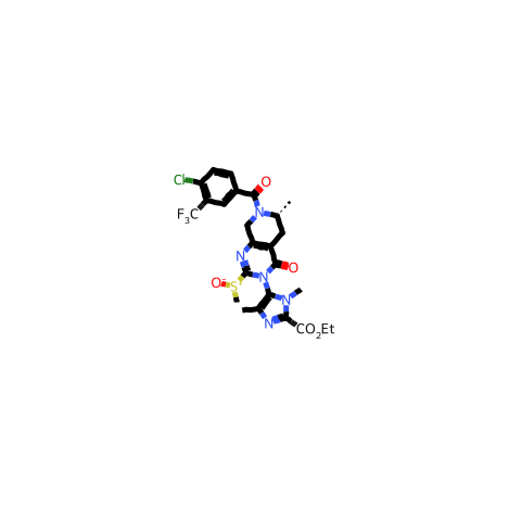 CCOC(=O)c1nc(C)c(-n2c([S+](C)[O-])nc3c(c2=O)C[C@@H](C)N(C(=O)c2ccc(Cl)c(C(F)(F)F)c2)C3)n1C